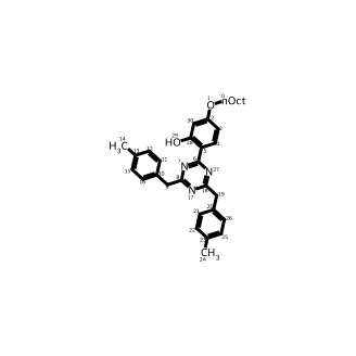 CCCCCCCCOc1ccc(-c2nc(Cc3ccc(C)cc3)nc(Cc3ccc(C)cc3)n2)c(O)c1